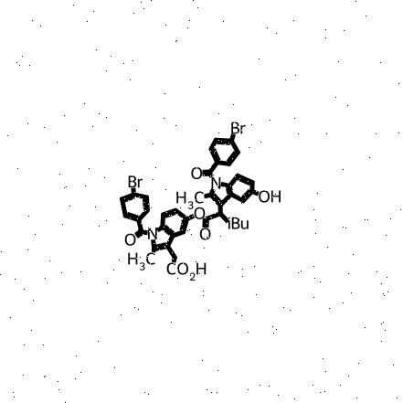 CCC(C)C(C(=O)Oc1ccc2c(c1)c(CC(=O)O)c(C)n2C(=O)c1ccc(Br)cc1)c1c(C)n(C(=O)c2ccc(Br)cc2)c2ccc(O)cc12